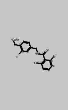 COCc1ccc(CNC(=O)c2c(Cl)cccc2Br)cc1F